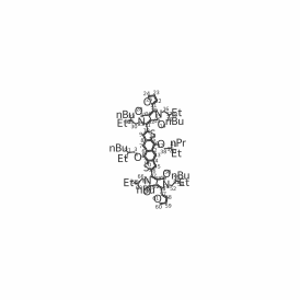 CCCCC(CC)COc1c2cc3cc(C4=C5C(=O)N(CC(CC)CCCC)C(c6ccco6)=C5C(=O)N4CC(CC)CCCC)sc3c(OCC(CC)CCC)c2cc2cc(C3=C4C(=O)N(CC(CC)CCCC)C(c5ccco5)=C4C(=O)N3CC(CC)CCCC)sc12